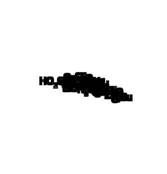 Cc1c(C)c(C(C)(C)C(C)(C)N2C(=O)c3ccc(C(c4ccc5c(c4)C(=O)N(c4cc(C(=O)O)cc(C(C)(C)C)c4)C5=O)(C(F)(F)F)C(F)(F)F)cc3C2=O)c(C)c(C)c1N1C(=O)c2ccc(C(c3ccc4c(c3)C(=O)N(C(C)(C)C)C4=O)(C(F)(F)F)C(F)(F)F)cc2C1=O